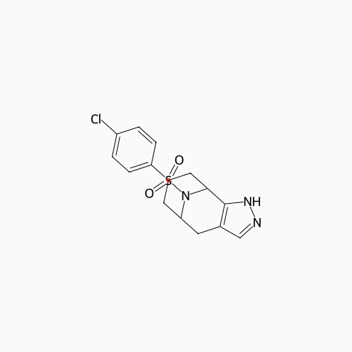 O=S(=O)(c1ccc(Cl)cc1)N1C2CCCC1c1[nH]ncc1C2